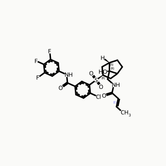 C/C=C/C(=O)NC[C@@]1(O)C2CC[C@H]1C[C@H](S(=O)(=O)c1cc(C(=O)Nc3cc(F)c(F)c(F)c3)ccc1Cl)C2